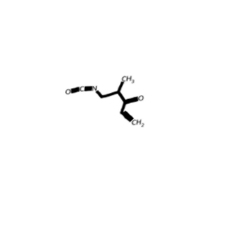 C=CC(=O)C(C)CN=C=O